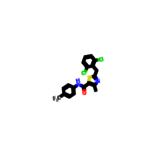 Cc1nc(Cc2c(Cl)cccc2Cl)sc1C(=O)Nc1ccc(C(F)(F)F)cc1